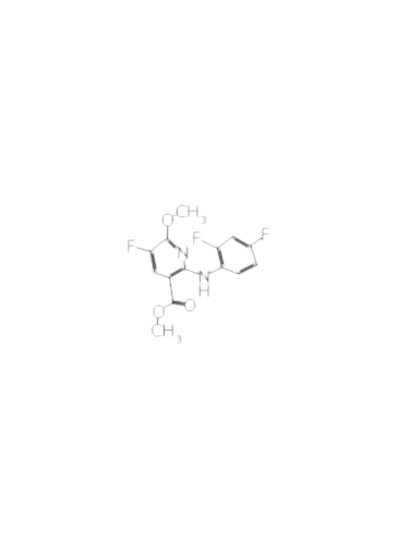 COC(=O)c1cc(F)c(OC)nc1Nc1ccc(F)cc1F